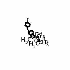 CN1C[C@@](C)(C(=O)OC(C)(C)C)c2ccc(Cc3ccc(F)cc3)cc21